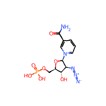 [N-]=[N+]=NC1[C@H]([n+]2cccc(C(N)=O)c2)O[C@H](COP(=O)(O)O)[C@H]1O